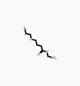 CCOC(=O)CCCSCCBr